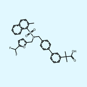 Cc1ccc2ccccc2c1S(=O)(=O)N(Cc1ccc(-c2cccc(C(C)(C)C(=O)O)c2)cc1)Cc1ccc(C(F)F)o1